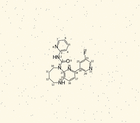 O=C(Nc1ccccn1)N1CCCCNc2ccc(-c3cncc(F)c3)nc21